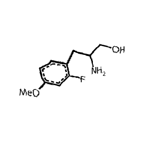 COc1ccc(CC(N)CO)c(F)c1